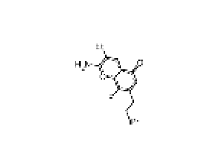 CCc1cc2c(=O)cc(CCC(C)C)c(F)c-2oc1N